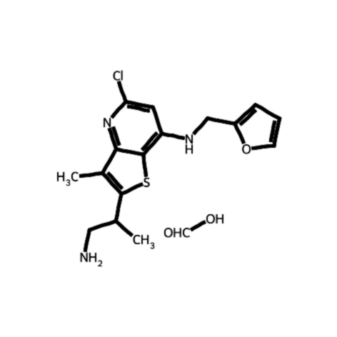 Cc1c(C(C)CN)sc2c(NCc3ccco3)cc(Cl)nc12.O=CO